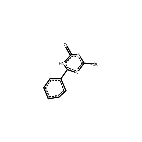 CC(C)(C)c1nc(-c2ccccc2)[nH]c(=O)n1